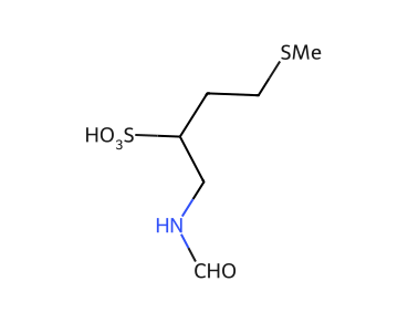 CSCCC(CNC=O)S(=O)(=O)O